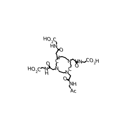 CC(=O)CNC(=O)CN1CCN(CC(=O)NCC(=O)O)CCN(CC(=O)NCC(=O)O)CCN(CC(=O)NCC(=O)O)CC1